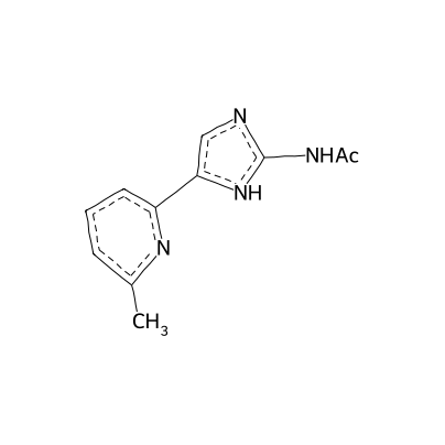 CC(=O)Nc1ncc(-c2cccc(C)n2)[nH]1